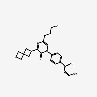 N/C=C\N(N)c1ccc(-n2cc(CCCO)nc(N3CC4(COC4)C3)c2=O)cc1